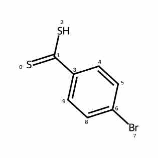 S=C(S)c1ccc(Br)cc1